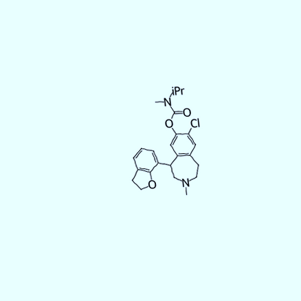 CC(C)N(C)C(=O)Oc1cc2c(cc1Cl)CCN(C)CC2c1cccc2c1OCC2